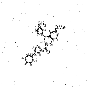 COc1ccc2c(c1)C(c1cnn(C)c1)CN(C(=O)c1cc(-c3ccccc3)on1)C2